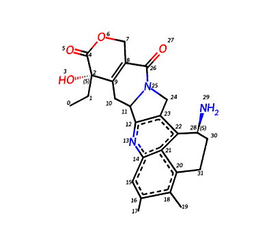 CC[C@@]1(O)C(=O)OCC2=C1CC1c3nc4cc(C)c(C)c5c4c(c3CN1C2=O)[C@@H](N)CC5